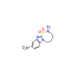 CCN1CCCCn2c(nc3cc([N+](=O)[O-])ccc32)S1(=O)=O